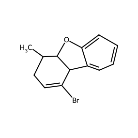 CC1CC=C(Br)C2c3ccccc3OC12